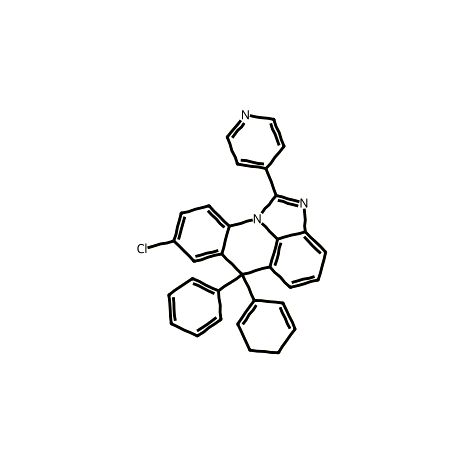 Clc1ccc2c(c1)C(C1=CCCC=C1)(c1ccccc1)c1cccc3nc(-c4ccncc4)n-2c13